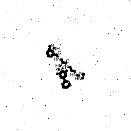 Cc1cc(-c2ccccc2)cc(C)c1S(=O)(=O)NC(CNC(=O)c1cccc2cn[nH]c12)C(=O)OCCCNC1=NCCN1